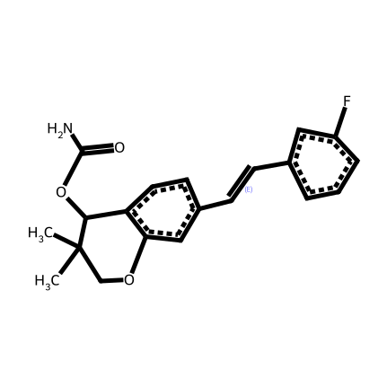 CC1(C)COc2cc(/C=C/c3cccc(F)c3)ccc2C1OC(N)=O